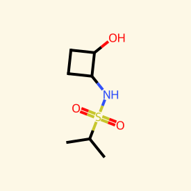 CC(C)S(=O)(=O)NC1CCC1O